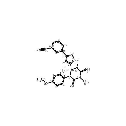 COc1ccc([C@@H]2C(=O)N(C)C(=N)N[C@]2(C)c2cc(-c3cccc(C#N)c3)cs2)cc1